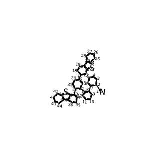 N#Cc1ccccc1-c1ccccc1-c1cc(-c2ccc3c(c2)sc2ccccc23)ccc1-c1cccc2c1sc1ccccc12